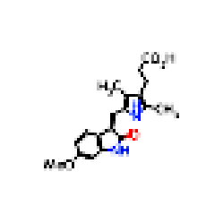 COc1ccc2c(c1)NC(=O)/C2=C\c1[nH]c(C)c(CCC(=O)O)c1C